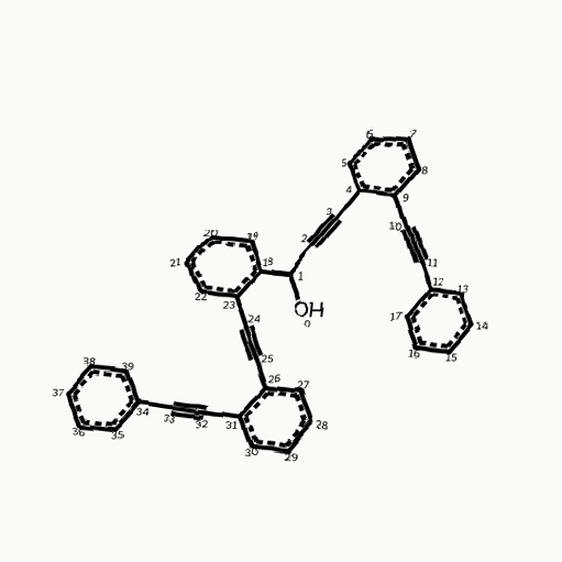 OC(C#Cc1ccccc1C#Cc1ccccc1)c1ccccc1C#Cc1ccccc1C#Cc1ccccc1